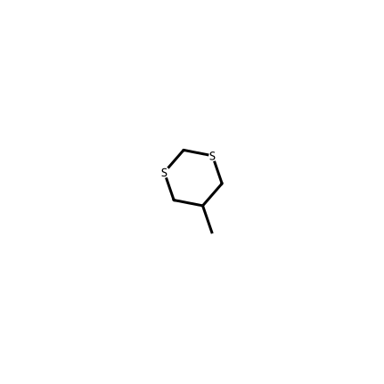 CC1CSCSC1